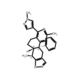 Cc1nc(-c2cnn(C)c2)c2c(n1)[C@@]1(c3ccccc3)Cc3cnoc3[C@@H](C)[C@@H]1CC2